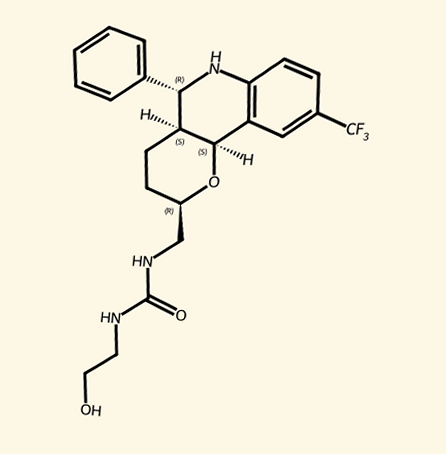 O=C(NCCO)NC[C@H]1CC[C@@H]2[C@H](O1)c1cc(C(F)(F)F)ccc1N[C@H]2c1ccccc1